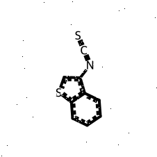 S=C=Nc1csc2ccccc12